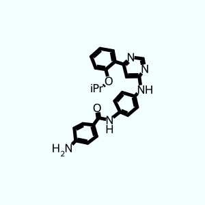 CC(C)Oc1ccccc1-c1cc(Nc2ccc(NC(=O)c3ccc(N)cc3)cc2)ncn1